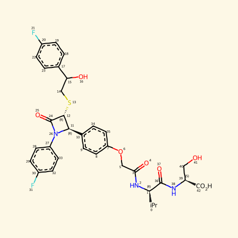 CC(C)[C@@H](NC(=O)COc1ccc([C@@H]2[C@@H](SCC(O)c3ccc(F)cc3)C(=O)N2c2ccc(F)cc2)cc1)C(=O)N[C@@H](CO)C(=O)O